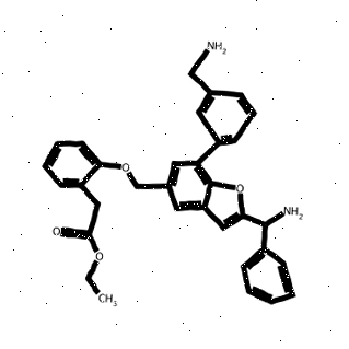 CCOC(=O)Cc1ccccc1OCc1cc(-c2cccc(CN)c2)c2oc(C(N)c3ccccc3)cc2c1